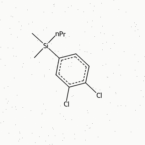 CCC[Si](C)(C)c1ccc(Cl)c(Cl)c1